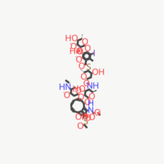 CCN[C@H]1CO[C@@H](O[C@H]2[C@H](O[C@H]3C#C/C=C\C#C[C@]4(O)CC(=O)C(NC(=O)OC)=C3/C4=C/CSC(C)=O)O[C@H](C)[C@@H](NO[C@H]3C[C@H](O)[C@H](SC(=O)c4c(C)c(I)c(O[C@@H]5O[C@@H](C)[C@H](O)[C@@H](OC)[C@H]5O)c(OC)c4OC)[C@@H](C)O3)[C@@H]2O)C[C@@H]1OC